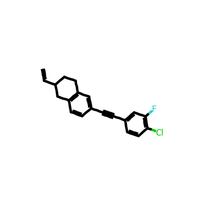 C=CC1CCc2cc(C#Cc3ccc(Cl)c(F)c3)ccc2C1